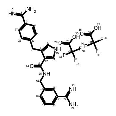 N=C(N)c1ccc(Cc2c[nH]cc2C(=O)NCc2cccc(C(=N)N)c2)cc1.O=C(O)C(F)(F)F.O=C(O)C(F)(F)F